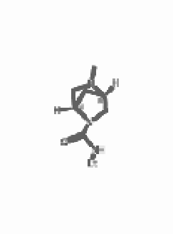 CCNC(=O)N1C[C@@H]2C[C@H]1CN2C